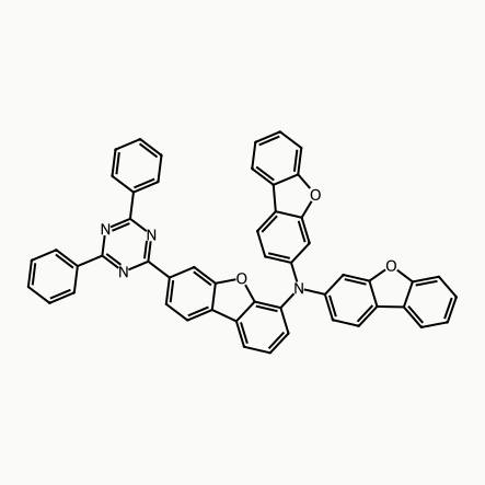 c1ccc(-c2nc(-c3ccccc3)nc(-c3ccc4c(c3)oc3c(N(c5ccc6c(c5)oc5ccccc56)c5ccc6c(c5)oc5ccccc56)cccc34)n2)cc1